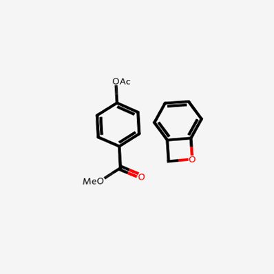 COC(=O)c1ccc(OC(C)=O)cc1.c1ccc2c(c1)CO2